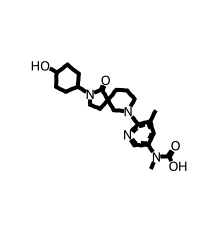 Cc1cc(N(C)C(=O)O)cnc1N1CCCC2(CCN(C3CCC(O)CC3)C2=O)C1